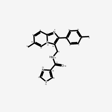 Cc1ccc(-c2nc3ccc(C)cn3c2CNC(=O)c2cscn2)cc1